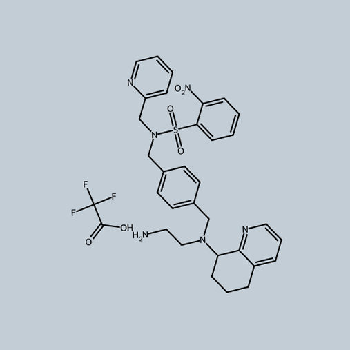 NCCN(Cc1ccc(CN(Cc2ccccn2)S(=O)(=O)c2ccccc2[N+](=O)[O-])cc1)C1CCCc2cccnc21.O=C(O)C(F)(F)F